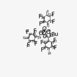 Cc1c(F)c(F)c(C[O][Zr]([O]Cc2c(F)c(F)c(C)c(F)c2F)([O]Cc2c(F)c(F)c(C)c(F)c2F)[O]C(C)(C)C)c(F)c1F